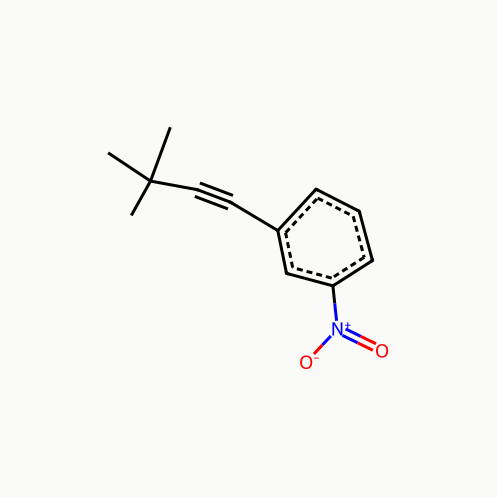 CC(C)(C)C#Cc1cccc([N+](=O)[O-])c1